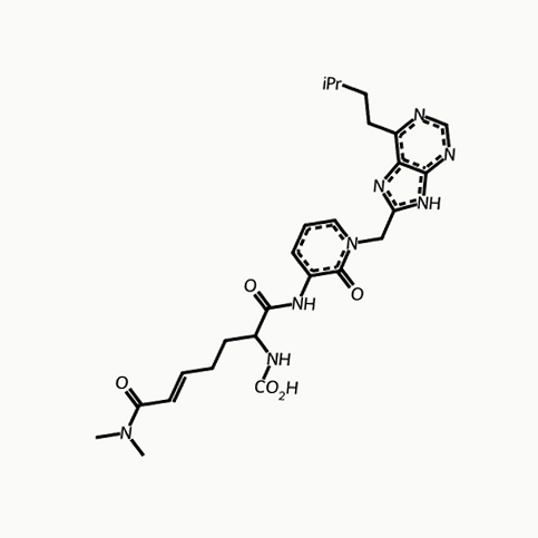 CC(C)CCc1ncnc2[nH]c(Cn3cccc(NC(=O)C(CCC=CC(=O)N(C)C)NC(=O)O)c3=O)nc12